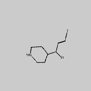 CCC(CCI)C1CCNCC1